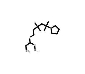 BCC(OB)OCCC(C)(C)CC(C)(C)N1CCCC1